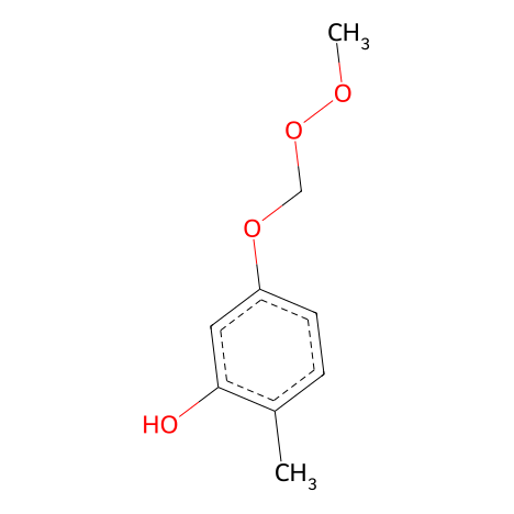 COOCOc1ccc(C)c(O)c1